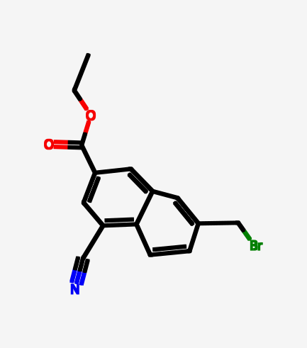 CCOC(=O)c1cc(C#N)c2ccc(CBr)cc2c1